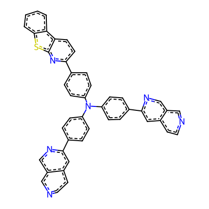 c1ccc2c(c1)sc1nc(-c3ccc(N(c4ccc(-c5cc6ccncc6cn5)cc4)c4ccc(-c5cc6ccncc6cn5)cc4)cc3)ccc12